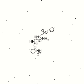 CC(=O)N[C@@H]1CCCC[C@H]1OCC(=O)N[C@H](C)C(=O)N[C@H](CCC(=O)OCc1ccccc1)C(N)=O